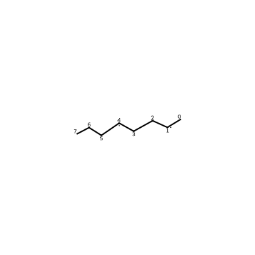 C[CH]CC[CH]CCC